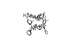 N.N.N.N.O=[N+]([O-])[Pd][N+](=O)[O-]